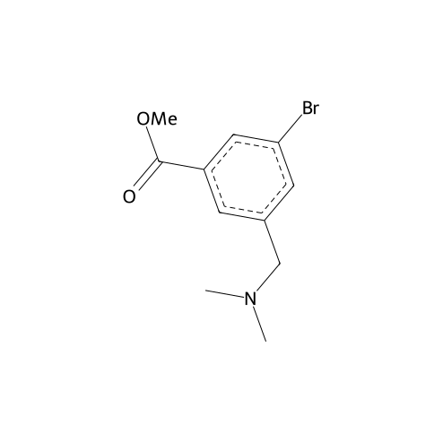 COC(=O)c1cc(Br)cc(CN(C)C)c1